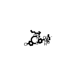 C=CC[C@H](O)[C@@H]1CC[C@H]1CN1CCCCc2cc(Cl)ccc2COc2ccc(C(=O)NS(=O)(=O)C[C@@H](C)C=C)cc21